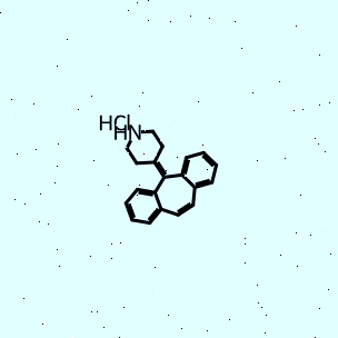 C1=Cc2ccccc2C(=C2CCNCC2)c2ccccc21.Cl